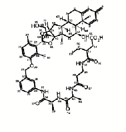 C=C1C=C[C@@]2(C)C(=C1)CC[C@@H]1[C@@H]2[C@@H](O)C[C@@]2(C)[C@H]1C[C@H]1O[C@@H](c3c(C)ccc(OCc4cccc(NC(=O)[C@H](C)NC(=O)[C@H](C)NC(=O)CCNC(=O)C(CC(=O)O)SI)c4)c3F)O[C@]12C(=O)CO